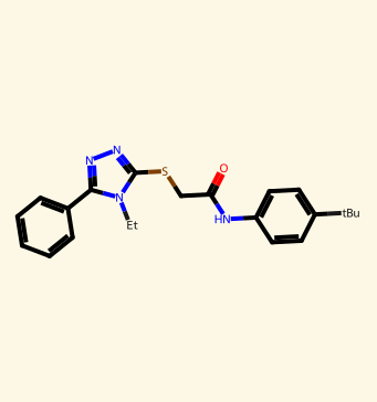 CCn1c(SCC(=O)Nc2ccc(C(C)(C)C)cc2)nnc1-c1ccccc1